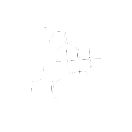 CC=C(C)C(C)=CC.CCC(C)(C)P(=NC1=CC=CC1)(C(C)(C)CC)C(C)(C)CC.[Ti]